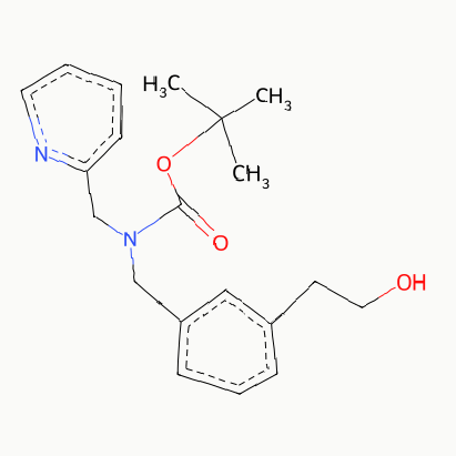 CC(C)(C)OC(=O)N(Cc1cccc(CCO)c1)Cc1ccccn1